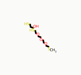 CSCCOCCOCCOCC[SH]=C(O)CCS